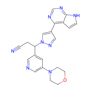 N#CCC(c1cncc(N2CCOCC2)c1)n1cc(-c2ncnc3[nH]ccc23)cn1